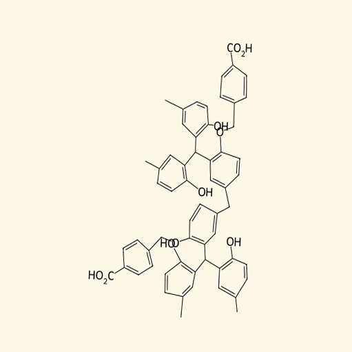 Cc1ccc(O)c(C(c2cc(C)ccc2O)c2cc(Cc3ccc(OCc4ccc(C(=O)O)cc4)c(C(c4cc(C)ccc4O)c4cc(C)ccc4O)c3)ccc2OCc2ccc(C(=O)O)cc2)c1